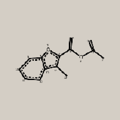 C=C(C)OC(=C)c1oc2ccccc2c1C